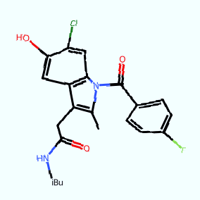 CCC(C)NC(=O)Cc1c(C)n(C(=O)c2ccc(F)cc2)c2cc(Cl)c(O)cc12